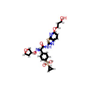 O=C(Nc1nc2ccc(OCCCO)nc2s1)/C(=N/O[C@@H]1CCOC1)c1ccc(S(=O)(=O)C2CC2)cc1